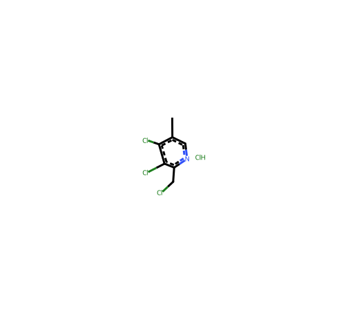 Cc1cnc(CCl)c(Cl)c1Cl.Cl